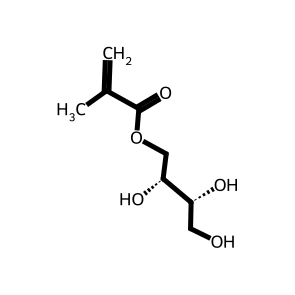 C=C(C)C(=O)OC[C@@H](O)[C@H](O)CO